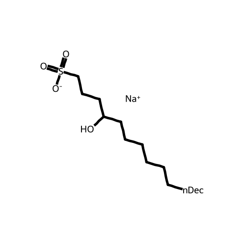 CCCCCCCCCCCCCCCCC(O)CCCS(=O)(=O)[O-].[Na+]